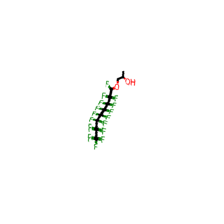 CC(O)COC(F)C(F)(F)C(F)(F)C(F)(F)C(F)(F)C(F)(F)C(F)(F)C(F)(F)F